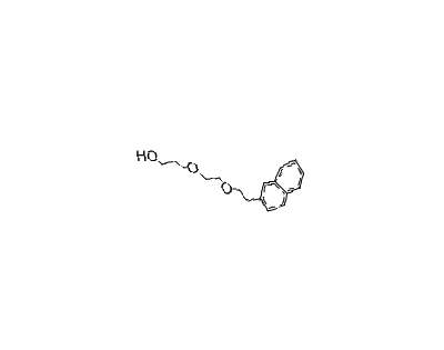 OCCCOCCOCCc1ccc2ccccc2c1